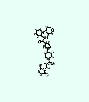 O=C(Nc1ccccc1N1CCOCC1)c1csc(C2CCN(C(=O)CCN3C(=O)CSC3=S)CC2)n1